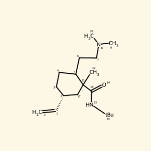 C=C[C@@H]1CCC(CCN(C)C)C(C)(C(=O)NC(C)(C)C)C1